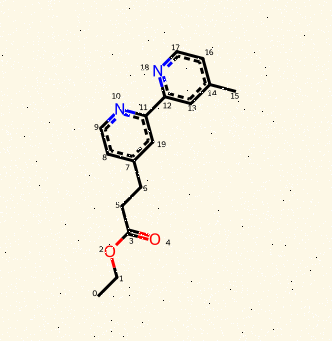 CCOC(=O)CCc1ccnc(-c2cc(C)ccn2)c1